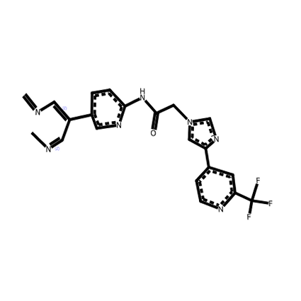 C=N/C=C(\C=N/C)c1ccc(NC(=O)Cn2cnc(-c3ccnc(C(F)(F)F)c3)c2)nc1